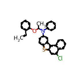 C=Cc1ccccc1OC(C)N(c1ccccc1)c1ccc2sc3cc(Cl)c4ccccc4c3c2c1